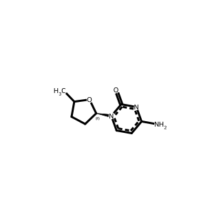 CC1CC[C@H](n2ccc(N)nc2=O)O1